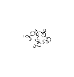 COc1ccc(COc2ncccc2C2=CC(=O)N(Cc3nc4ccc(C(=O)O)cc4n3C[C@@H]3CCO3)CC2)cc1